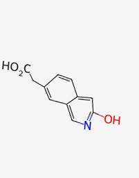 O=C(O)Cc1ccc2cc(O)ncc2c1